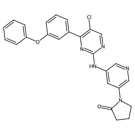 O=C1CCCN1c1cncc(Nc2ncc(Cl)c(-c3cccc(Oc4ccccc4)c3)n2)c1